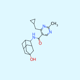 Cc1ncc(C(=O)NC2C3CC4CC2CC(O)(C4)C3)c(CC2CC2)n1